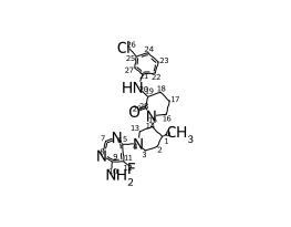 C[C@H]1CCN(c2ncnc(N)c2F)C[C@@H]1N1CCCC(Nc2cccc(Cl)c2)C1=O